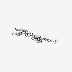 COc1nc(O[C@H]2CCc3c(-c4cccc(-c5nc6c(=O)n(CCN7CC[C@@H](C(=O)O)C7)cc(C#N)c6o5)c4Cl)cccc32)c(Cl)cc1CN1CC[C@@H](O)C1